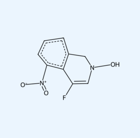 O=[N+]([O-])c1cccc2c1C(F)=CN(O)C2